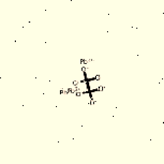 [O-]C([O-])([O-])C([O-])([O-])[O-].[Pb+2].[Pb+2].[Pb+2]